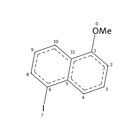 COc1cccc2c(I)cccc12